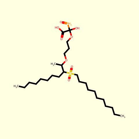 CCCCCCCCCCCS(=O)(=O)C(CCCCCCCC)C(C)OCCCOC(O)([PH2]=O)C(=O)O